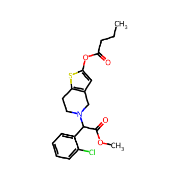 CCCC(=O)Oc1cc2c(s1)CCN(C(C(=O)OC)c1ccccc1Cl)C2